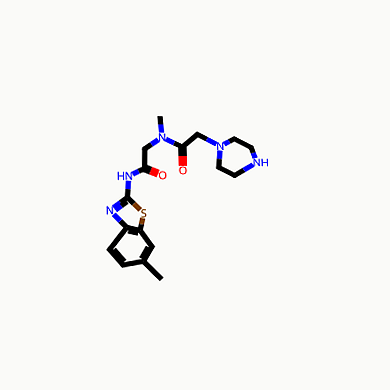 Cc1ccc2nc(NC(=O)CN(C)C(=O)CN3CCNCC3)sc2c1